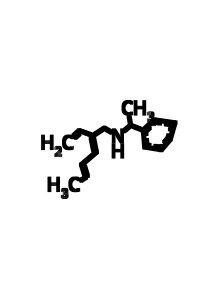 C=CC(=CC=CC)CNC(C)c1ccccc1